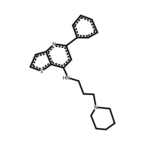 c1ccc(-c2cc(NCCCN3CCCCC3)c3sccc3n2)cc1